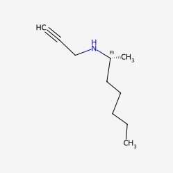 C#CCN[C@H](C)CCCCC